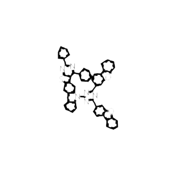 c1ccc(-c2nc(-c3ccccc3)c3c(n2)sc2cc4c5ccccc5n(-c5nc(-c6ccc7c(c6)oc6ccccc67)nc(-c6ccc7c(c6)oc6ccccc67)n5)c4cc23)cc1